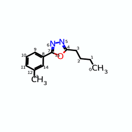 CCCCc1nnc(-c2cccc(C)c2)o1